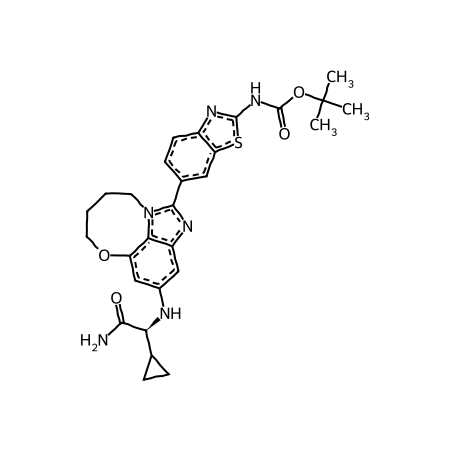 CC(C)(C)OC(=O)Nc1nc2ccc(-c3nc4cc(N[C@H](C(N)=O)C5CC5)cc5c4n3CCCCO5)cc2s1